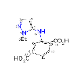 CCn1nccc1Nc1cc(C(=O)O)ccc1C(=O)O